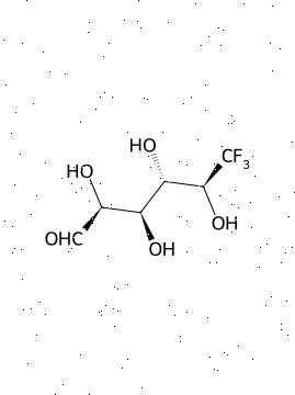 O=C[C@@H](O)[C@H](O)[C@H](O)[C@H](O)C(F)(F)F